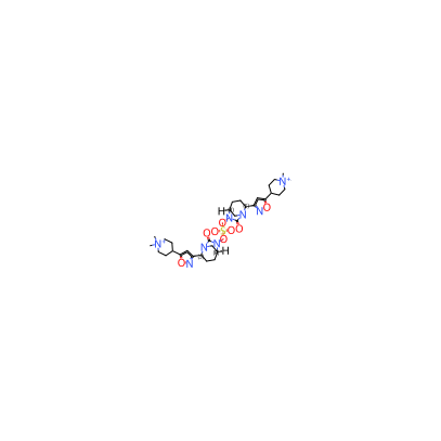 C[N+]1(C)CCC(c2cc([C@@H]3CC[C@@H]4CN3C(=O)N4OS(=O)(=O)ON3C(=O)N4C[C@H]3CC[C@H]4c3cc(C4CC[N+](C)(C)CC4)on3)no2)CC1